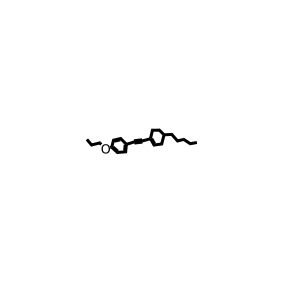 CCCCCC1CC=C(C#Cc2ccc(OCCC)cc2)CC1